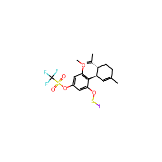 C=C(C)[C@@H]1CCC(C)=C[C@H]1c1c(OC)cc(OS(=O)(=O)C(F)(F)F)cc1OSI